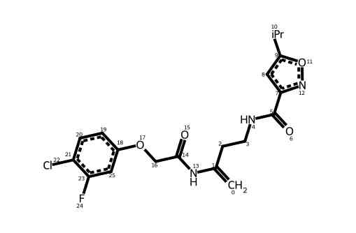 C=C(CCNC(=O)c1cc(C(C)C)on1)NC(=O)COc1ccc(Cl)c(F)c1